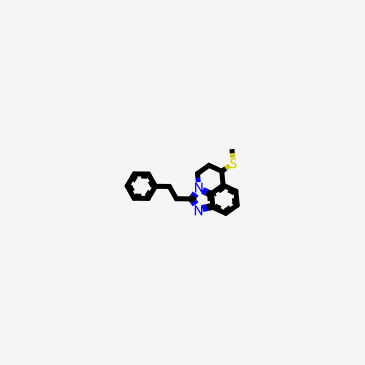 CSC1CCn2c(CCc3ccccc3)nc3cccc1c32